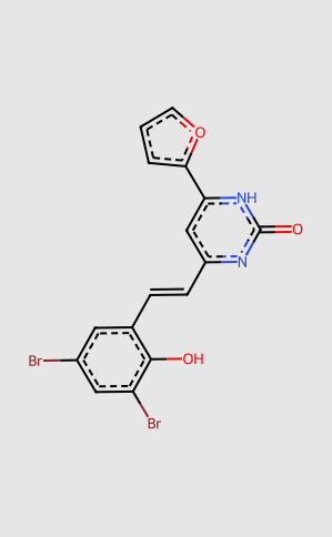 O=c1nc(C=Cc2cc(Br)cc(Br)c2O)cc(-c2ccco2)[nH]1